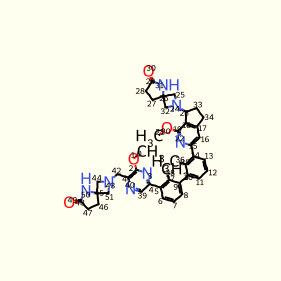 COc1nc(-c2cccc(-c3cccc(-c4cc5c(c(OC)n4)C(N4CC6(CCC(=O)N6)C4)CC5)c3C)c2C)cnc1CN1CC2(CCC(=O)N2)C1